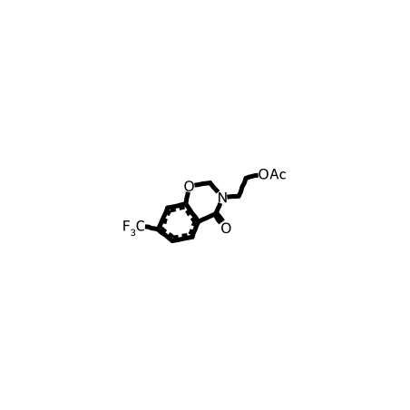 CC(=O)OCCN1COc2cc(C(F)(F)F)ccc2C1=O